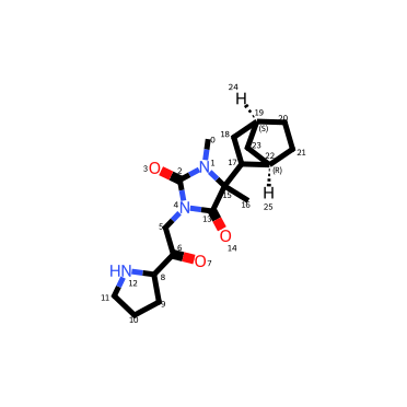 CN1C(=O)N(CC(=O)C2CCCN2)C(=O)C1(C)C1C[C@H]2CC[C@@H]1C2